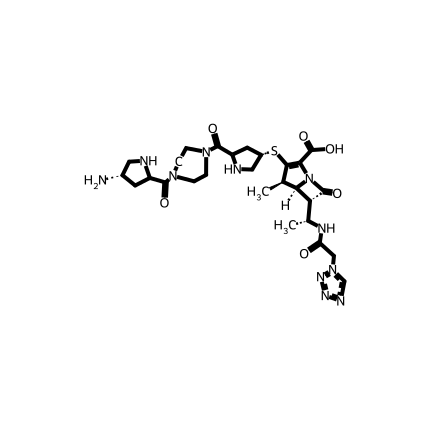 C[C@@H](NC(=O)Cn1cnnn1)[C@H]1C(=O)N2C(C(=O)O)=C(S[C@@H]3CNC(C(=O)N4CCN(C(=O)C5C[C@H](N)CN5)CC4)C3)[C@H](C)[C@H]12